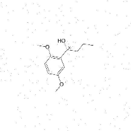 CCC[C@@H](O)c1cc(OC)ccc1OC